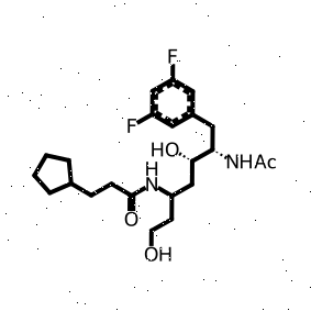 CC(=O)N[C@@H](Cc1cc(F)cc(F)c1)[C@@H](O)CC(CCO)NC(=O)CCC1CCCC1